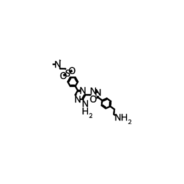 CN(C)CCS(=O)(=O)c1ccc(-c2cnc(N)c(-c3nnc(-c4ccc(CCN)cc4)o3)n2)cc1